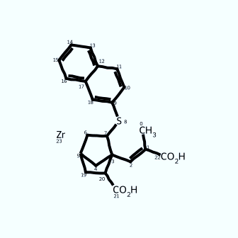 CC(=CC12CC(CC1Sc1ccc3ccccc3c1)CC2C(=O)O)C(=O)O.[Zr]